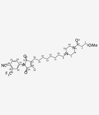 COCCC(=O)N1CCN(CCCCCCCCC2=C(C)C(=O)N(c3ccc(C#N)c(C(F)(F)F)c3)C2=O)CC1